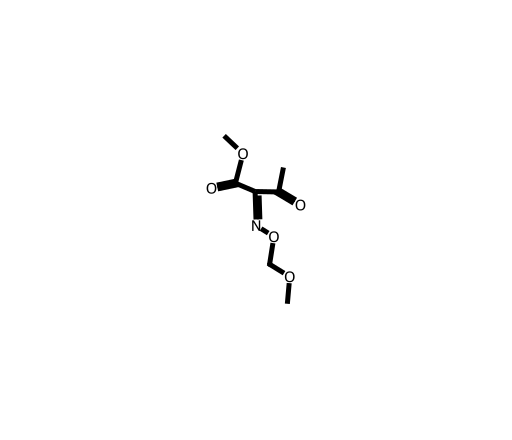 COCO/N=C(\C(C)=O)C(=O)OC